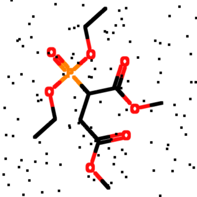 CCOP(=O)(OCC)C(CC(=O)OC)C(=O)OC